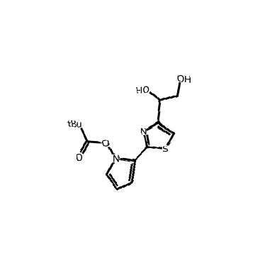 CC(C)(C)C(=O)On1cccc1-c1nc(C(O)CO)cs1